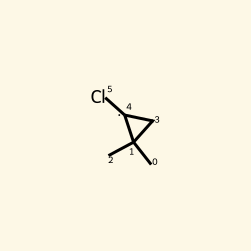 CC1(C)C[C]1Cl